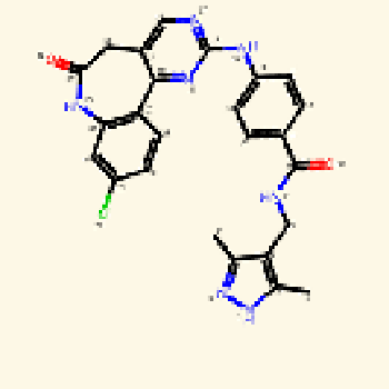 Cc1n[nH]c(C)c1CNC(=O)c1ccc(Nc2ncc3c(n2)-c2ccc(Cl)cc2NC(=O)C3)cc1